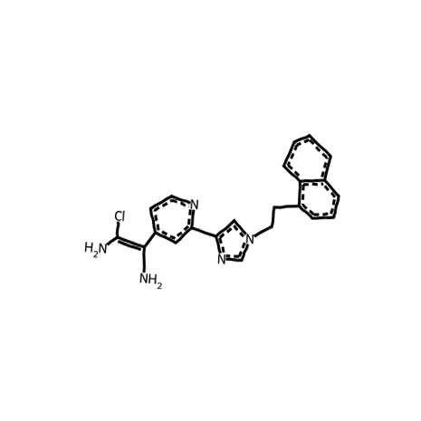 N/C(Cl)=C(\N)c1ccnc(-c2cn(CCc3cccc4ccccc34)cn2)c1